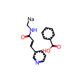 O=C(/C=C/c1cccnc1)N[CH2][Na].O=C(O)c1ccccc1